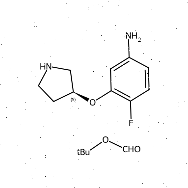 CC(C)(C)OC=O.Nc1ccc(F)c(O[C@H]2CCNC2)c1